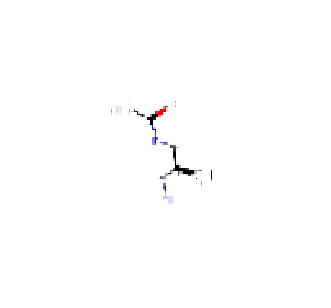 C=C(CN)CNC(=O)CCC